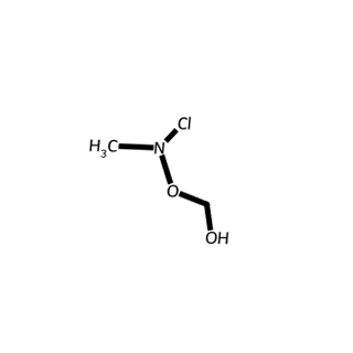 CN(Cl)OCO